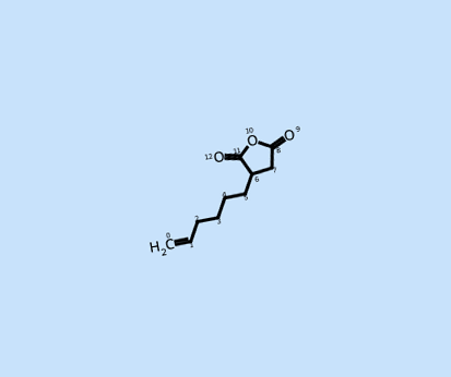 C=CCCCCC1CC(=O)OC1=O